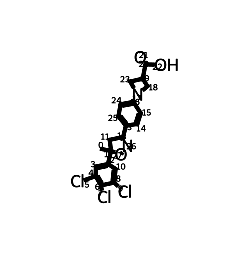 CC1(c2cc(Cl)c(Cl)c(Cl)c2)CC(c2ccc(N3CC(C(=O)O)C3)cc2)=NO1